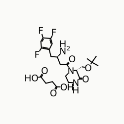 CC(C)(C)OC[C@@H]1C(=O)NCCN1C(=O)C[C@H](N)Cc1cc(F)c(F)cc1F.O=C(O)CCC(=O)O